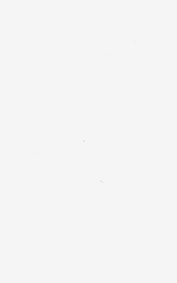 CC(C)(C)c1ccc(N2B3c4cc5sc6ccccc6c5cc4-n4c5cc6oc7ccccc7c6cc5c5ccc(c3c54)-c3cc4c(cc32)sc2cc3c(cc24)C(C)(C)CCC3(C)C)cc1